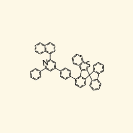 c1ccc(-c2cc(-c3ccc(-c4cccc5c4-c4c(sc6ccccc46)C54c5ccccc5-c5ccccc54)cc3)cc(-c3cccc4ccccc34)n2)cc1